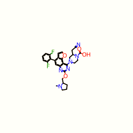 CN1CCCC1COc1nc(N2CCN(C(=O)O)C(CC#N)C2)c2c(cc(-c3c(F)cccc3F)c3ccoc32)n1